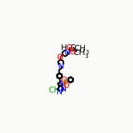 CC(C)(C)OC(=O)N1CCC(OC2CCN(CCc3ccc(-c4cc5c(Cl)ncnc5n4S(=O)(=O)c4ccccc4)cc3)CC2)CC1